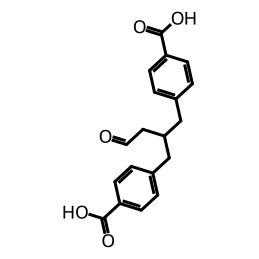 O=CCC(Cc1ccc(C(=O)O)cc1)Cc1ccc(C(=O)O)cc1